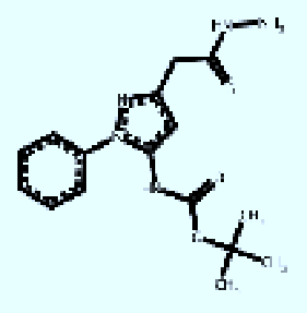 CC(C)(C)OC(=O)Nc1cc(CC(=S)NN)nn1-c1ccccc1